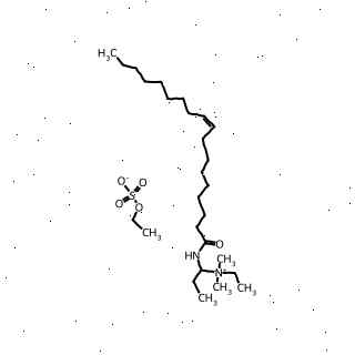 CCCCCCCC/C=C\CCCCCCCC(=O)NC(CC)[N+](C)(C)CC.CCOS(=O)(=O)[O-]